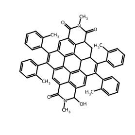 Cc1ccccc1C1=C(c2ccccc2C)C2CC3C(=O)N(C)C(=O)c4cc5c(-c6ccccc6C)c(-c6ccccc6C)c6cc7c8c(cc1c1c8c6c5c(c43)C12)C(O)N(C)C7=O